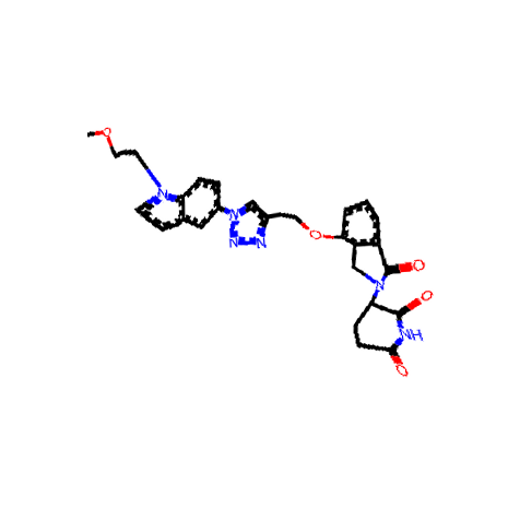 COCCn1ccc2cc(-n3cc(COc4cccc5c4CN(C4CCC(=O)NC4=O)C5=O)nn3)ccc21